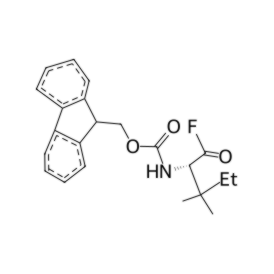 CCC(C)(C)[C@H](NC(=O)OCC1c2ccccc2-c2ccccc21)C(=O)F